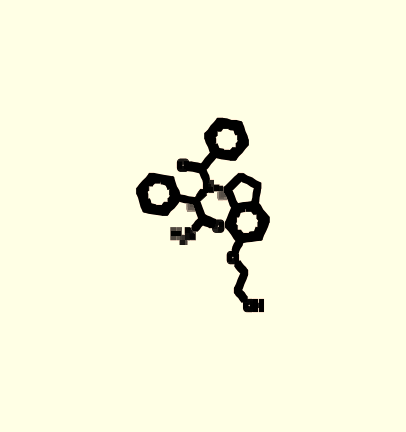 NC(=O)[C@@H](c1ccccc1)N(C(=O)c1ccccc1)[C@@H]1CCc2ccc(OCCO)cc21